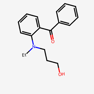 CCN(CCCO)c1ccccc1C(=O)c1ccccc1